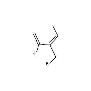 [2H]C(=C)/C(=C\C)CBr